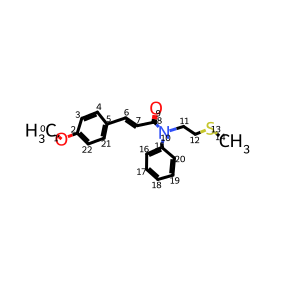 COc1ccc(C=CC(=O)N(CCSC)c2ccccc2)cc1